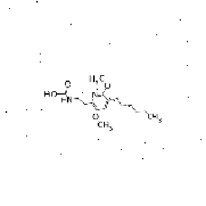 CCCCCCc1cc(OC)c(CCNC(=O)O)nc1OC